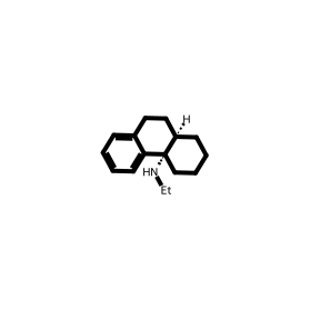 CCN[C@@]12CCCC[C@@H]1CCc1ccccc12